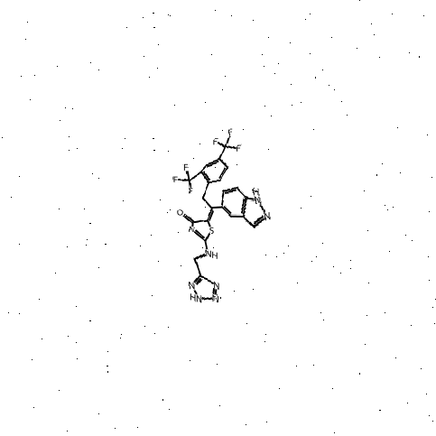 O=C1N=C(NCc2nn[nH]n2)SC1=C(Cc1ccc(C(F)(F)F)cc1C(F)(F)F)c1ccc2[nH]ncc2c1